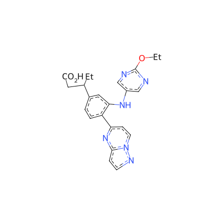 CCOc1ncc(Nc2cc(C(CC)CC(=O)O)ccc2-c2ccn3nccc3n2)cn1